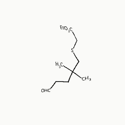 CCOC(=O)CSCC(C)(C)CCC=O